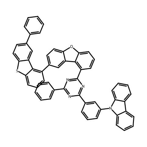 c1ccc(-c2ccc3sc4cccc(-c5ccc6oc7cccc(-c8nc(-c9ccccc9)nc(-c9cccc(-n%10c%11ccccc%11c%11ccccc%11%10)c9)n8)c7c6c5)c4c3c2)cc1